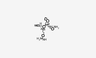 Cl.Cl.Cl.Cn1c(CCc2ccc(C(=N)N)cc2)nc2cc(N(Cc3cccc4ccccc34)C(=O)CNCc3cccc(N)c3)ccc21